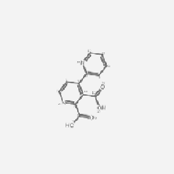 O=C(O)c1nccc(-c2ccccn2)c1C(=O)O